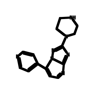 c1cc(-c2ccnc3nc(N4CCNCC4)nn23)ccn1